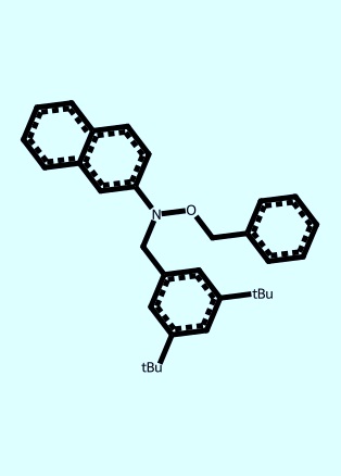 CC(C)(C)c1cc(CN(OCc2ccccc2)c2ccc3ccccc3c2)cc(C(C)(C)C)c1